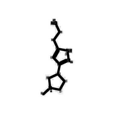 CN1CCC(c2cc(CCO)[nH]n2)C1